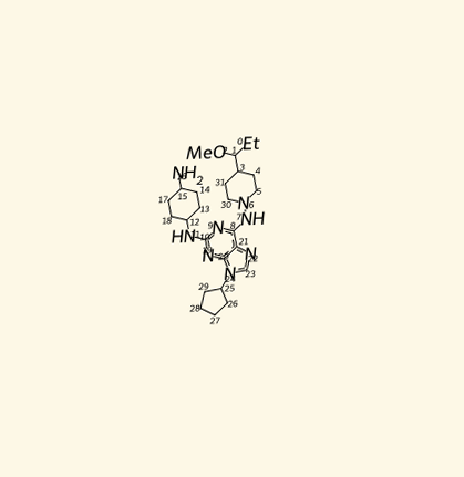 CCC(OC)C1CCN(Nc2nc(NC3CCC(N)CC3)nc3c2ncn3C2CCCC2)CC1